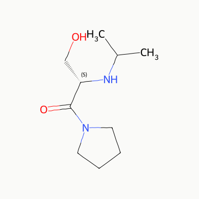 CC(C)N[C@@H](CO)C(=O)N1CCCC1